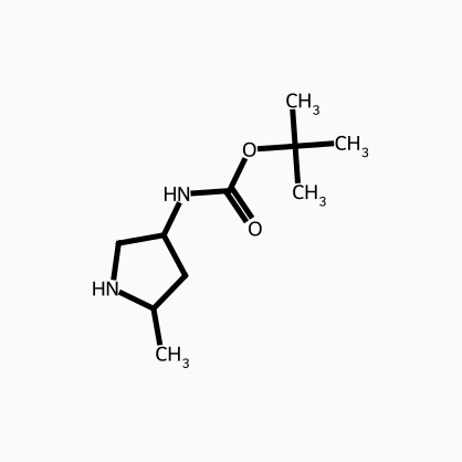 CC1CC(NC(=O)OC(C)(C)C)CN1